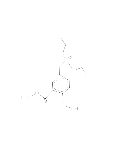 CCOP(=O)(Cc1ccc(OC)c(C(=O)OC)c1)OCC